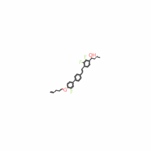 C=CCCCOc1ccc(-c2ccc(/C=C/c3ccc(C(O)CCC)c(F)c3F)cc2)cc1F